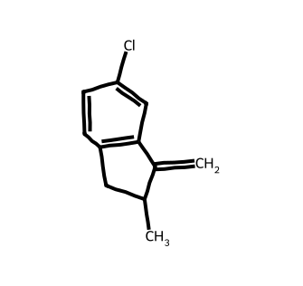 C=C1c2cc(Cl)ccc2CC1C